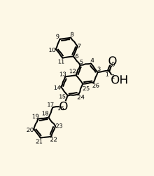 O=C(O)c1cc(-c2ccccc2)c2ccc(OCc3ccccc3)cc2c1